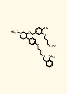 COCCCOc1cc(COC2CN(C(=O)O)CCC2c2ccc(OCCCOCc3ccccc3OC)cc2)ccc1C#N